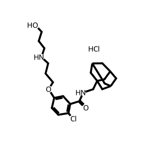 Cl.O=C(NCC12CC3CC(CC(C3)C1)C2)c1cc(OCCCNCCCO)ccc1Cl